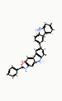 c1ccc(-c2nc3cc4[nH]c5ccc(-c6ccc7[nH]c8ccccc8c7c6)cc5c4cc3o2)cc1